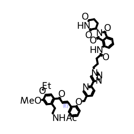 CCOc1cc(C(=O)/C=C/c2ccccc2OCc2ccc(-c3cn(CCCC(=O)Nc4cccc5c4C(=O)N(C4CCC(=O)NC4=O)C5=O)nn3)nc2)c(CCNC(C)=O)cc1OC